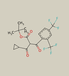 CC(C)(C)OC(=O)C(C(=O)c1ccc(C(F)(F)F)cc1C(F)(F)F)C(=O)C1CC1